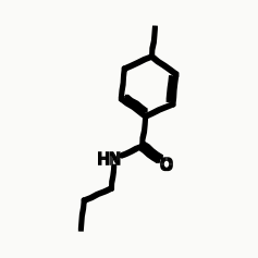 CCCNC(=O)C1=CCC(C)C=C1